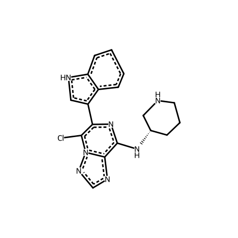 Clc1c(-c2c[nH]c3ccccc23)nc(N[C@H]2CCCNC2)c2ncnn12